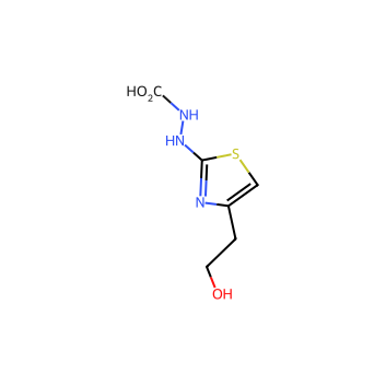 O=C(O)NNc1nc(CCO)cs1